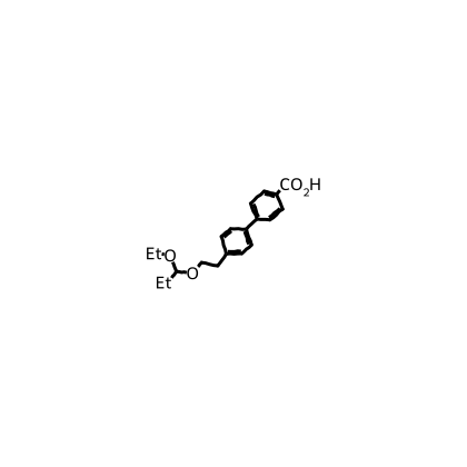 CCOC(CC)OCCc1ccc(-c2ccc(C(=O)O)cc2)cc1